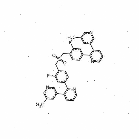 Cc1cncc(-c2cccnc2-c2ccc(CS(=O)(=O)Cc3ccc(-c4ncccc4-c4cncc(C)c4)cc3F)c(F)c2)c1